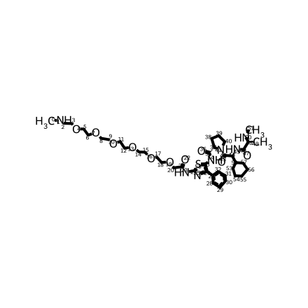 CNCCOCCOCCOCCOCCOCCOCC(=O)Nc1nc(-c2ccccc2)c(NC(=O)[C@@H]2CCCN2C(=O)[C@@H](NC(=O)[C@H](C)NC)C2CCCCC2)s1